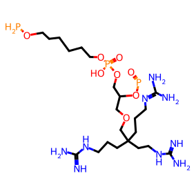 N=C(N)NCCCC(CCCN=C(N)N)(CCNC(=N)N)COCC(COP(=O)(O)OCCCCCCOP)OP=O